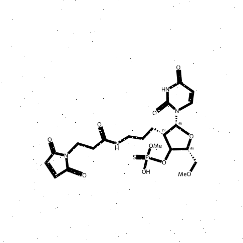 COC[C@H]1O[C@@H](n2ccc(=O)[nH]c2=O)[C@@H](CCCNC(=O)CCN2C(=O)C=CC2=O)C1OP(O)(=S)OC